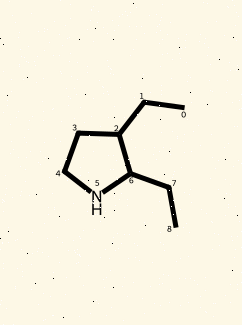 CCC1CCNC1CC